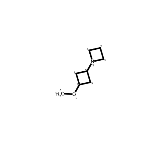 COC1CC(N2CCC2)C1